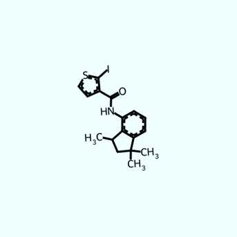 CC1CC(C)(C)c2cccc(NC(=O)c3ccsc3I)c21